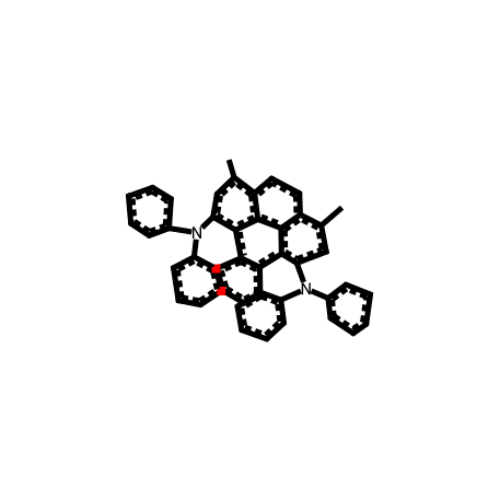 Cc1cc(N(c2ccccc2)c2ccccc2)c2c3ccccc3c3c(N(c4ccccc4)c4ccccc4)cc(C)c4ccc1c2c43